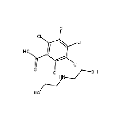 O=C(O)c1c(Cl)c(Cl)c(Cl)c(Cl)c1Cl.OCCNCCO